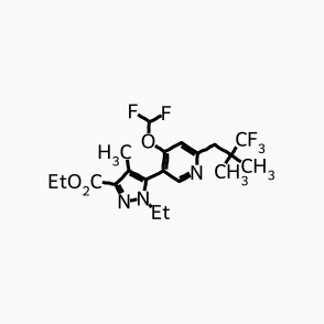 CCOC(=O)c1nn(CC)c(-c2cnc(CC(C)(C)C(F)(F)F)cc2OC(F)F)c1C